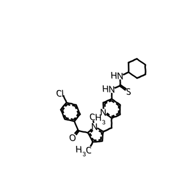 Cc1cc(Cc2ccc(NC(=S)NC3CCCCC3)cn2)n(C)c1C(=O)c1ccc(Cl)cc1